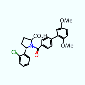 COc1ccc(OC)c(-c2ccc(C(=O)N3[C@@H](c4ccccc4Cl)CC[C@H]3C(=O)O)cc2)c1